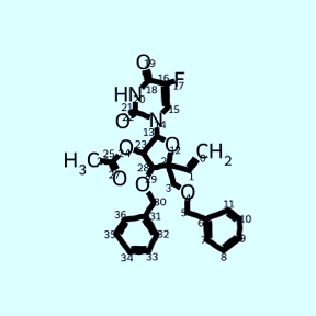 C=CC1(COCc2ccccc2)OC(n2cc(F)c(=O)[nH]c2=O)C(OC(C)=O)C1OCc1ccccc1